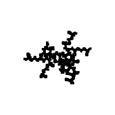 CC(=O)OCOC(=O)CN(CC(=O)OCOC(C)=O)c1cc2c(cc1OCCOc1c(N(CC(=O)OCOC(C)=O)CC(=O)OCOC(C)=O)ccc(F)c1F)C1(OC2=O)c2cc(F)c(OC(C)=O)cc2C(C)(C)c2cc(OC(C)=O)c(F)cc21